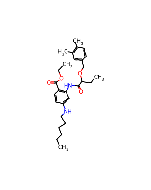 CCCCCCNc1ccc(C(=O)OCC)c(NC(=O)C(CC)OCc2ccc(C)c(C)c2)c1